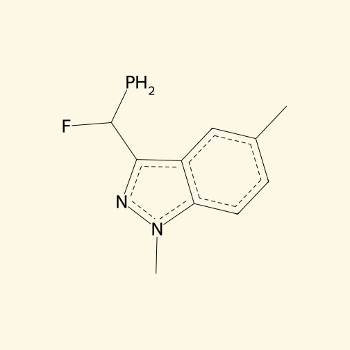 Cc1ccc2c(c1)c(C(F)P)nn2C